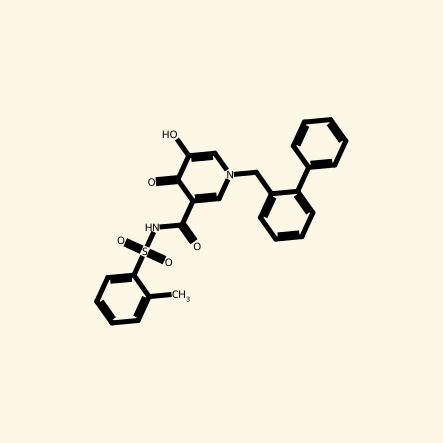 Cc1ccccc1S(=O)(=O)NC(=O)c1cn(Cc2ccccc2-c2ccccc2)cc(O)c1=O